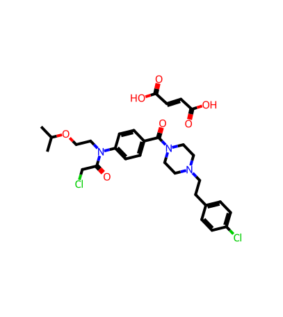 CC(C)OCCN(C(=O)CCl)c1ccc(C(=O)N2CCN(CCc3ccc(Cl)cc3)CC2)cc1.O=C(O)C=CC(=O)O